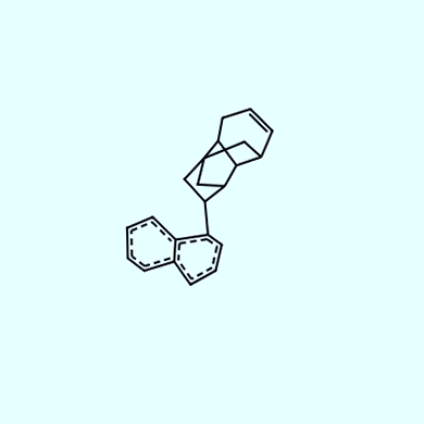 C1=CC2CC34CC(c5cccc6ccccc56)C(C3)C2C4C1